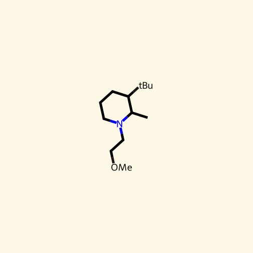 COCCN1CCCC(C(C)(C)C)C1C